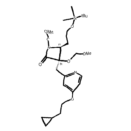 COCO[C@@]1(Cc2cc(OCCC3CC3)ccn2)C(=O)N(COC)[C@H]1CCO[Si](C)(C)C(C)(C)C